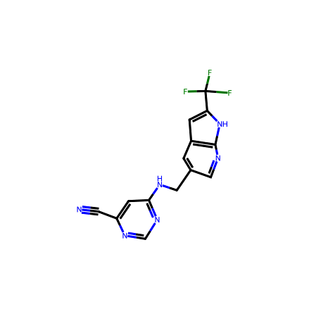 N#Cc1cc(NCc2cnc3[nH]c(C(F)(F)F)cc3c2)ncn1